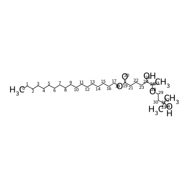 CCCCCCCCCCCCCCCCCCOC(=O)CCCC(O)C(C)OCCC(C)(C)O